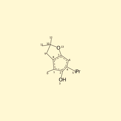 Cc1c(O)c(C(C)C)cc2c1CC(C)(C)O2